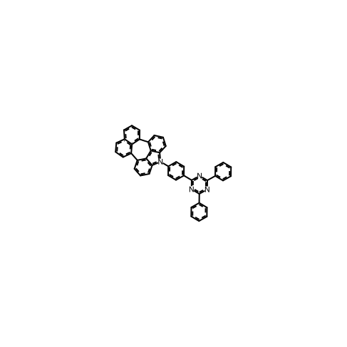 c1ccc(-c2nc(-c3ccccc3)nc(-c3ccc(-n4c5cccc6c5c5c(cccc54)-c4cccc5cccc-6c45)cc3)n2)cc1